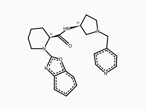 O=C(N[C@H]1CCN(Cc2ccncc2)C1)[C@@H]1CCCCN1c1nc2ccccc2o1